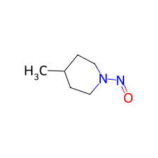 CC1CCN(N=O)CC1